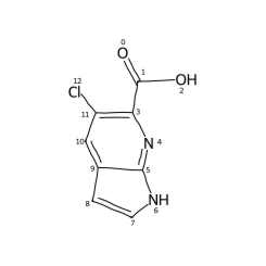 O=C(O)c1nc2[nH]ccc2cc1Cl